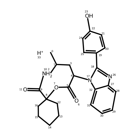 CC(C)CC(C(=O)OC1(C(N)=O)CCCCC1)n1c(-c2ccc(O)cc2)nc2ccccc21.[H+]